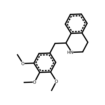 COc1cc(CC2NCCc3ccccc32)cc(OC)c1OC